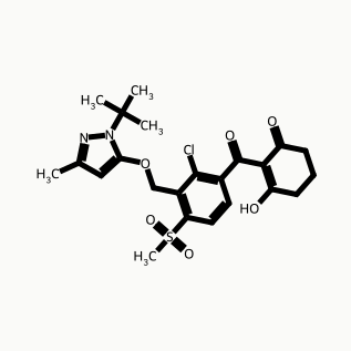 Cc1cc(OCc2c(S(C)(=O)=O)ccc(C(=O)C3=C(O)CCCC3=O)c2Cl)n(C(C)(C)C)n1